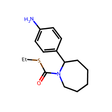 CCSC(=O)N1CCCCCC1c1ccc(N)cc1